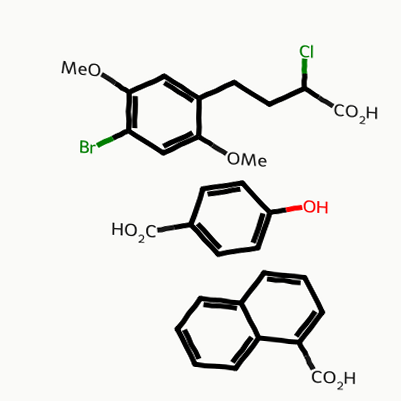 COc1cc(CCC(Cl)C(=O)O)c(OC)cc1Br.O=C(O)c1ccc(O)cc1.O=C(O)c1cccc2ccccc12